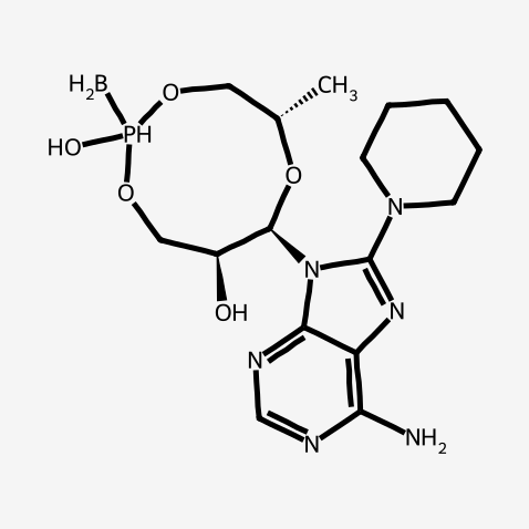 B[PH]1(O)OC[C@H](C)O[C@@H](n2c(N3CCCCC3)nc3c(N)ncnc32)[C@@H](O)CO1